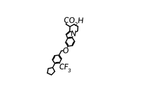 O=C(O)CC1CCCn2c1cc1cc(OCc3ccc(C4CCCC4)c(C(F)(F)F)c3)ccc12